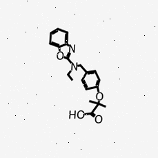 CCN(Cc1ccc(OC(C)(C)C(=O)O)cc1)c1nc2ccccc2o1